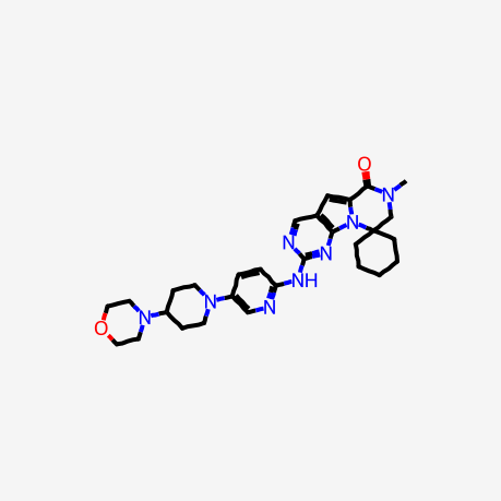 CN1CC2(CCCCC2)n2c(cc3cnc(Nc4ccc(N5CCC(N6CCOCC6)CC5)cn4)nc32)C1=O